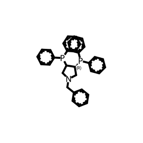 c1ccc(CN2CC(P(c3ccccc3)c3ccccc3)[C@H](P(c3ccccc3)c3ccccc3)C2)cc1